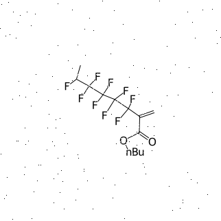 C=C(C(=O)OCCCC)C(F)(F)C(F)(F)C(F)(F)C(F)(F)C(C)F